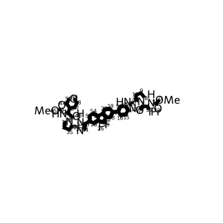 COC(=O)NC(C(=O)N1CCC[C@H]1c1nc2ccc(-c3ccc4c(c3)C(F)(F)c3cc(-c5cnc([C@@H]6CCCN6C(=O)C(NC(=O)OC)C6CCOCC6)[nH]5)ccc3-4)cc2[nH]1)C(C)C